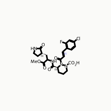 COC(=O)C(C[C@@H]1CCNC1=O)NC(=O)[C@@H]1CCCN(C(=O)O)N1C(=O)/C=C/c1ccc(Cl)cc1F